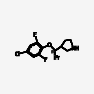 CC(C)[C@@H](Oc1c(F)cc(Cl)cc1F)C1CCNC1